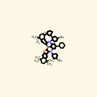 CC(C)(C)c1ccc(N2c3cc(C4CCCCC4)cc4c3B(c3cc5c6cc3N4c3ccc(C(C)(C)C)cc3-c3cccc(c3)C6(C)CCC5(C)C)c3oc4cc5c(cc4c32)C(C)(C)CCC5(C)C)cc1